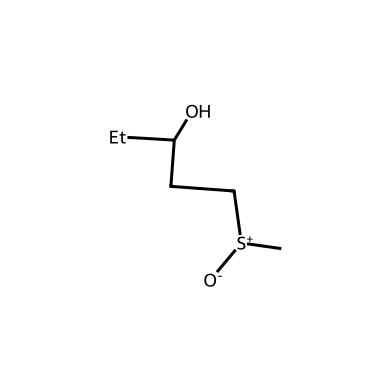 [CH2]CC(O)CC[S+](C)[O-]